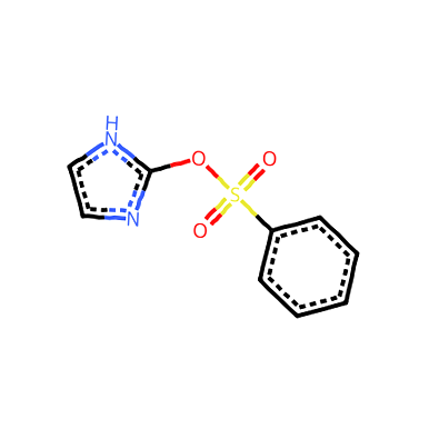 O=S(=O)(Oc1ncc[nH]1)c1ccccc1